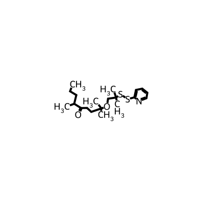 CCCC(C)C(=O)CCC(C)(C)OCC(C)(C)SSc1ccccn1